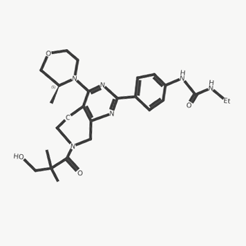 CCNC(=O)Nc1ccc(-c2nc3c(c(N4CCOC[C@@H]4C)n2)CCN(C(=O)C(C)(C)CO)C3)cc1